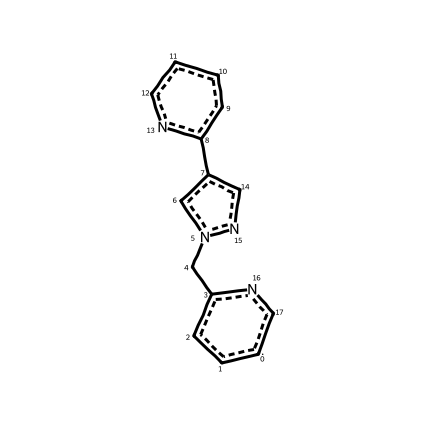 [c]1ccc(Cn2cc(-c3ccccn3)cn2)nc1